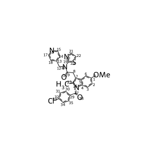 COc1ccc2c(c1)c(CC(=O)N(Cc1ccncc1)c1nccs1)c(C)n2C(=O)c1ccc(Cl)cc1